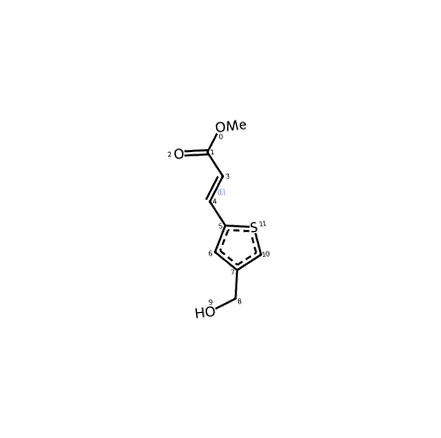 COC(=O)/C=C/c1cc(CO)cs1